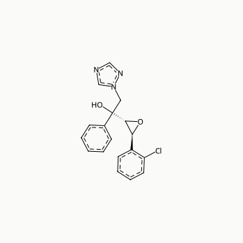 OC(Cn1cncn1)(c1ccccc1)[C@@H]1O[C@H]1c1ccccc1Cl